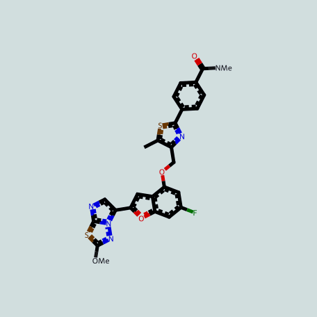 CNC(=O)c1ccc(-c2nc(COc3cc(F)cc4oc(-c5cnc6sc(OC)nn56)cc34)c(C)s2)cc1